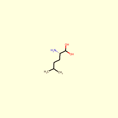 CC(C)CC[C@H](N)C(O)O